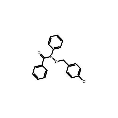 O=C(c1ccccc1)N(OCc1ccc(Cl)cc1)c1ccccc1